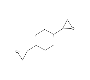 C1CC(C2CO2)CCC1C1CO1